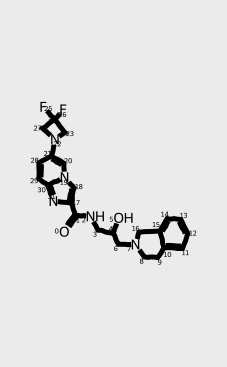 O=C(NCC(O)CN1CCc2ccccc2C1)c1cn2cc(N3CC(F)(F)C3)ccc2n1